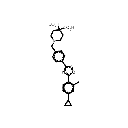 Cc1cc(C2CC2)ccc1-c1nc(-c2ccc(CN3CCC(C(=O)O)(C(=O)O)CC3)cc2)no1